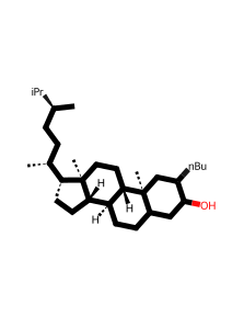 CCCCC1C[C@@]2(C)C(CC[C@H]3[C@@H]4CC[C@H]([C@H](C)CC[C@H](C)C(C)C)[C@@]4(C)CC[C@@H]32)CC1O